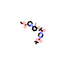 CCOC(=O)[C@@H]1CCCN(c2cccc(OC(C)(C)C(=O)N3CCN(C(=O)OC(C)(C)C)CC3)c2F)C1